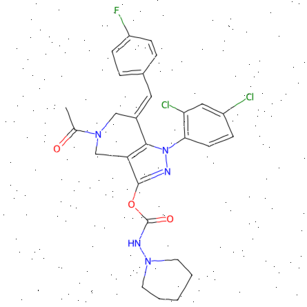 CC(=O)N1C/C(=C\c2ccc(F)cc2)c2c(c(OC(=O)NN3CCCCC3)nn2-c2ccc(Cl)cc2Cl)C1